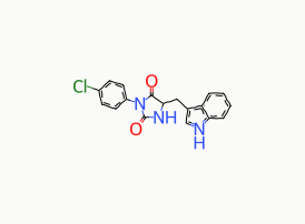 O=C1NC(Cc2c[nH]c3ccccc23)C(=O)N1c1ccc(Cl)cc1